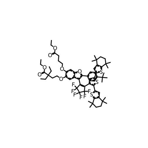 CCOC(=O)CCCOc1cc2oc(-c3ccc(C(C)(C)C)cc3)c(C3=C(c4cc(-c5cc6c(s5)C(C)(C)CCC6(C)C)sc4-c4cc5c(s4)C(C)(C)CCC5(C)C)C(F)(F)C(F)(F)C3(F)F)c2cc1OCCC(CC)(CC)C(=O)OCC